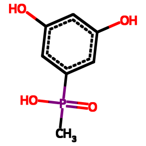 CP(=O)(O)c1cc(O)cc(O)c1